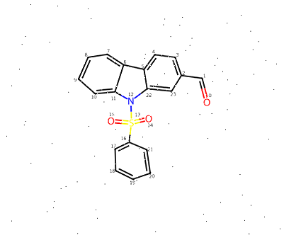 O=Cc1ccc2c3ccccc3n(S(=O)(=O)c3ccccc3)c2c1